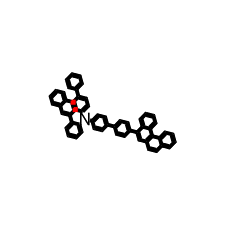 c1ccc(-c2ccc(N(c3ccc(-c4ccc(-c5cc6ccc7ccccc7c6c6ccccc56)cc4)cc3)c3ccccc3-c3ccc4ccccc4c3)cc2)cc1